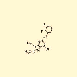 CSc1nn2c(O)cc(CSc3cccc(F)c3F)nc2c1C#N